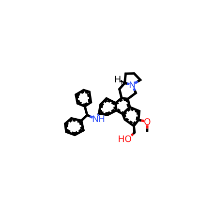 COc1cc2c3c(c4ccc(NC(c5ccccc5)c5ccccc5)cc4c2cc1CO)C[C@@H]1CCCN1C3